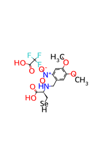 COc1cc(CN[C@@H](C[SeH])C(=O)O)c([N+](=O)[O-])cc1OC.O=C(O)C(F)(F)F